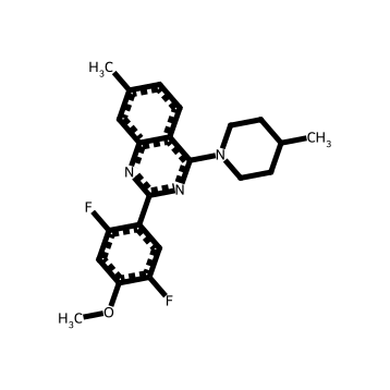 COc1cc(F)c(-c2nc(N3CCC(C)CC3)c3ccc(C)cc3n2)cc1F